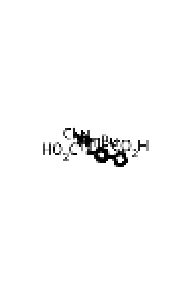 CCCCc1nc(Cl)c(C(=O)O)n1Cc1ccc(C2CCCCC2C(=O)O)cc1